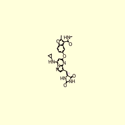 CNC(=O)c1c(C)oc2ccc(Oc3cc(NC4CC4)n4ncc(/C=C5\NC(=O)NC5=O)c4n3)cc12